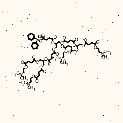 CN(C)CCOC(=O)CCC(=O)OCC(COC(=O)CCC(=O)OCCN(C)C)OC(=O)CCC(=O)OCC(COC(=O)CCC(=O)OC(COC(=O)CCC(=O)OCCN(C)C)COC(=O)CCC(=O)OCCN(C)C)OC(=O)CCC(=O)O[Si](c1ccccc1)(c1ccccc1)C(C)(C)C